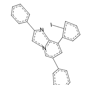 Ic1ccccc1-c1cc(-c2ccccc2)cn2cc(-c3ccccc3)nc12